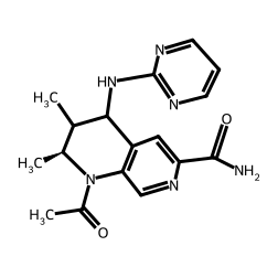 CC(=O)N1c2cnc(C(N)=O)cc2C(Nc2ncccn2)C(C)[C@@H]1C